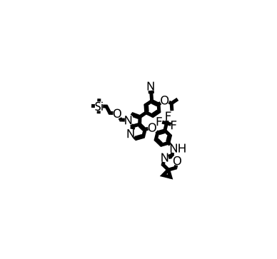 CC(C)Oc1ccc(-c2cn(COCC[Si](C)(C)C)c3nccc(Oc4ccc(NC5=NCC6(CC6)CO5)cc4C(F)(F)F)c23)cc1C#N